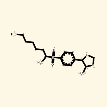 CCCCCCC(C)S(=O)(=O)c1ccc(C2OCOC2C)cc1